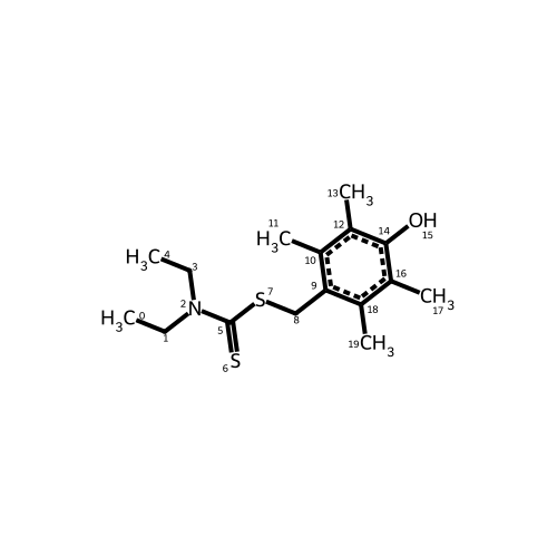 CCN(CC)C(=S)SCc1c(C)c(C)c(O)c(C)c1C